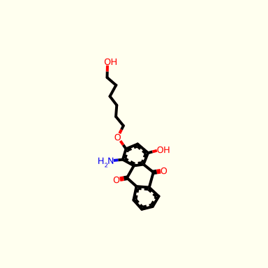 Nc1c(OCCCCCCO)cc(O)c2c1C(=O)c1ccccc1C2=O